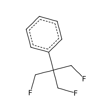 FCC(CF)(CF)c1ccccc1